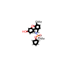 COc1ccc2c3c1OC1CC(O)C=CC31CCN(P(=O)(OC)Oc1ccccc1)C2